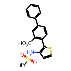 CC(C)S(=O)(=O)Nc1ccsc1-c1ccc(-c2ccccc2)cc1C(=O)O